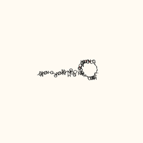 CO[C@H]1C[C@@H]2CC[C@@H](C)[C@@](O)(O2)C(=O)C(=O)N2CCCC[C@H]2C(=O)O[C@H]([C@H](N)C[C@@H]2CC[C@@H](OC(=O)NCc3cnc(N4CCN(C(=O)CCOCCN5CCN(c6ncc(C)cn6)CC5)CC4)nc3)[C@H](OC)C2)CC[C@H](C)/C=C(\C)[C@@H](O)[C@@H](O)C(=O)[C@H](C)C[C@H](C)/C=C/C=C/C=C/1C